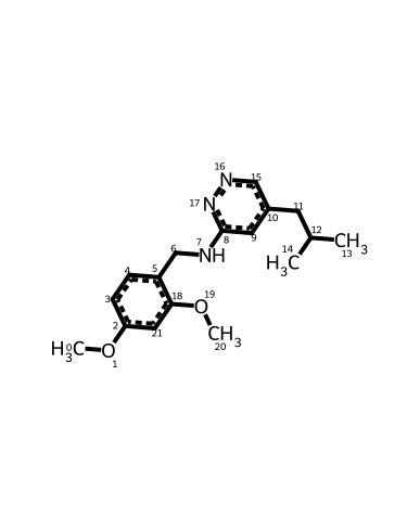 COc1ccc(CNc2cc(CC(C)C)cnn2)c(OC)c1